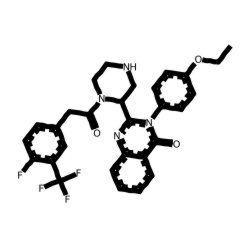 CCOc1ccc(-n2c(C3CNCCN3C(=O)Cc3ccc(F)c(C(F)(F)F)c3)nc3ccccc3c2=O)cc1